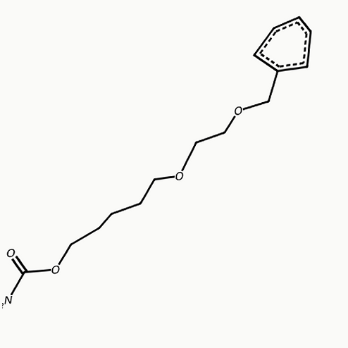 NC(=O)OCCCCCOCCOCc1ccccc1